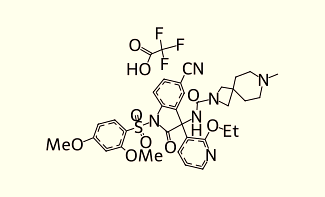 CCOc1ncccc1C1(NC(=O)N2CC3(CCN(C)CC3)C2)C(=O)N(S(=O)(=O)c2ccc(OC)cc2OC)c2ccc(C#N)cc21.O=C(O)C(F)(F)F